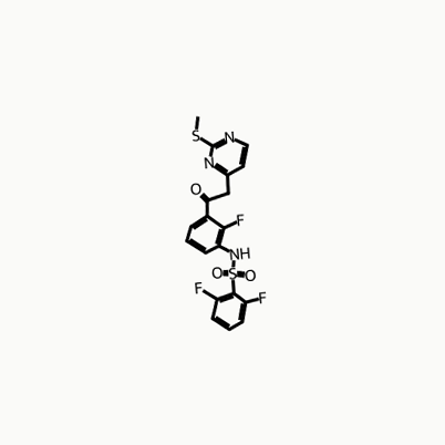 CSc1nccc(CC(=O)c2cccc(NS(=O)(=O)c3c(F)cccc3F)c2F)n1